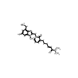 CN(C)C(=O)/C=C/CCCc1cccn(Cc2nc3c(CC(C)(C)C)cc(F)cc3n2C)c1=O